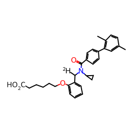 [2H]C(c1ccccc1OCCCCCC(=O)O)N(C(=O)c1ccc(-c2cc(C)ccc2C)cc1)C1CC1